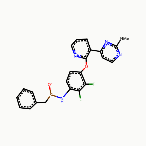 CNc1nccc(-c2cccnc2Oc2ccc(N[S+]([O-])Cc3ccccc3)c(F)c2F)n1